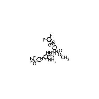 CCOC(=O)n1nc(NC(=O)c2ccc(N3CCN(C(=O)C(F)(F)F)CC3)cc2N)c2c1CCN(S(=O)(=O)c1cc(F)cc(F)c1)C2